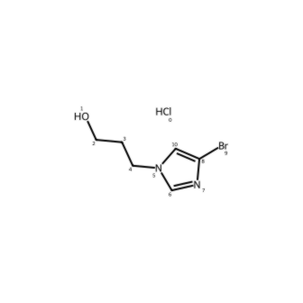 Cl.OCCCn1cnc(Br)c1